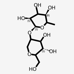 CC1O[C@@H](OC2COC(CO)[C@@H](O)C2O)[C@@H](O)C(O)[C@H]1O